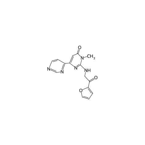 Cn1c(NCC(=O)c2ccco2)nc(-c2ccncn2)cc1=O